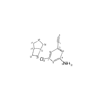 C#Cc1cc(N)cc(Cl)c1.C1CC2CCC2C1